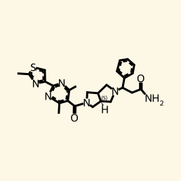 Cc1nc(-c2nc(C)c(C(=O)N3CC4CN(C(CC(N)=O)c5ccccc5)C[C@H]4C3)c(C)n2)cs1